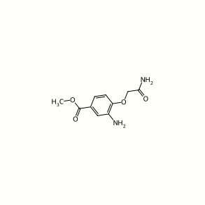 COC(=O)c1ccc(OCC(N)=O)c(N)c1